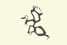 COC(=O)c1cc(N)c(C)cc1C1CCOc2cc(F)ccc21